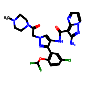 CN1CCN(C(=O)Cn2cc(NC(=O)c3c(N)nn4cccnc34)c(-c3cc(Cl)ccc3OC(F)F)n2)CC1